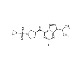 CC(C)n1cnc2c(N[C@H]3CCN(S(=O)(=O)C4CC4)C3)nc(F)nc21